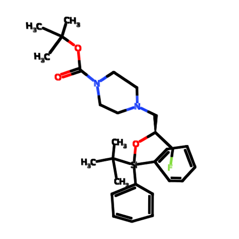 CC(C)(C)OC(=O)N1CCN(C[C@@H](CF)O[Si](c2ccccc2)(c2ccccc2)C(C)(C)C)CC1